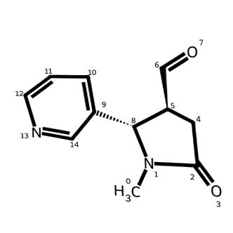 CN1C(=O)C[C@H](C=O)[C@H]1c1cccnc1